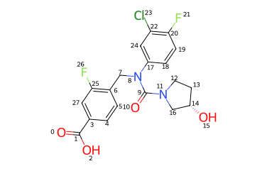 O=C(O)c1ccc(CN(C(=O)N2CC[C@H](O)C2)c2ccc(F)c(Cl)c2)c(F)c1